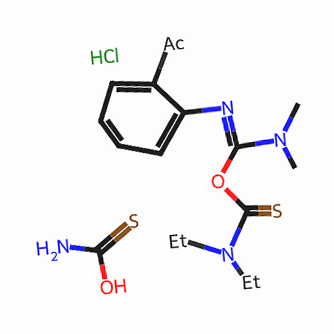 CCN(CC)C(=S)OC(=Nc1ccccc1C(C)=O)N(C)C.Cl.NC(O)=S